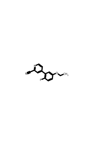 CCOc1ccc(F)c(-c2ccnc(C#N)c2)c1